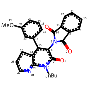 CCCCn1c(=O)c(N2C(=O)c3ccccc3C2=O)c(-c2cccc(OC)c2)c2cccnc21